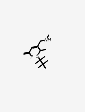 C=C(F)/C=C(/CNC)C(C)SC(C)(C)C(C)(C)C